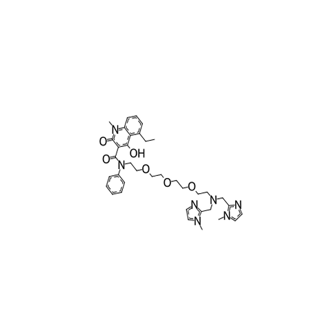 CCc1cccc2c1c(O)c(C(=O)N(CCOCCOCCOCCN(Cc1nccn1C)Cc1nccn1C)c1ccccc1)c(=O)n2C